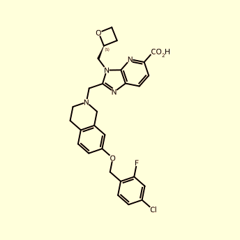 O=C(O)c1ccc2nc(CN3CCc4ccc(OCc5ccc(Cl)cc5F)cc4C3)n(C[C@@H]3CCO3)c2n1